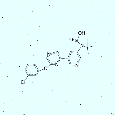 CC(C)(C)N(C(=O)O)c1cncc(-c2cncc(Oc3cccc(Cl)c3)n2)c1